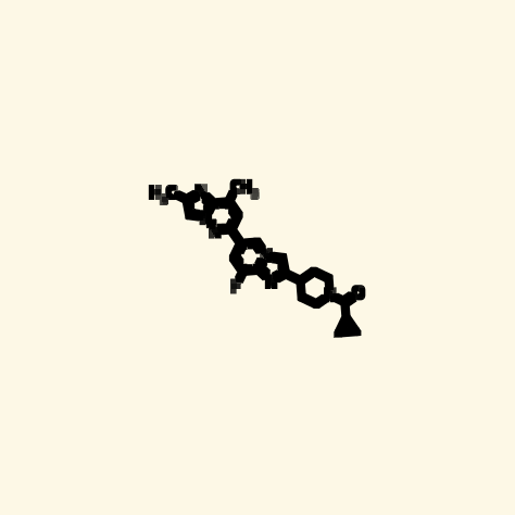 Cc1cn2nc(-c3cc(F)c4nc(C5CCN(C(=O)C6CC6)CC5)cn4c3)cc(C)c2n1